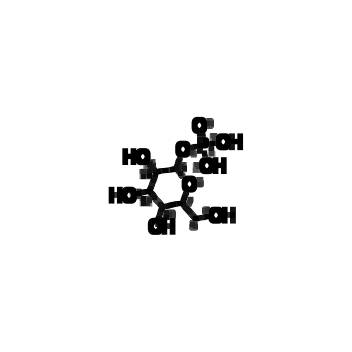 O=P(O)(O)OC1OC(CO)C(O)C(O)C1O